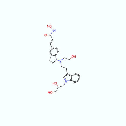 O=C(C=Cc1ccc2c(c1)CCC2N(CCO)CCc1cn(CC(O)CO)c2ccccc12)NO